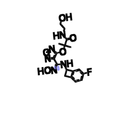 CC(C)(Oc1nonc1/C(=N\O)NC1Cc2ccc(F)cc21)C(=O)NCCO